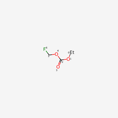 CCOC(=O)OCF